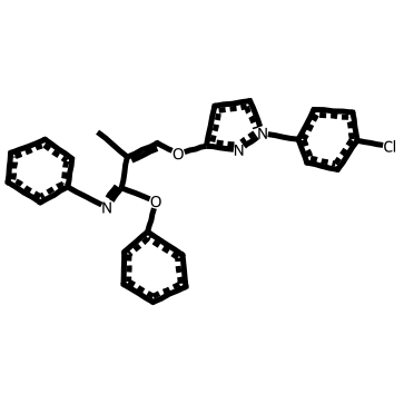 CC(=COc1ccn(-c2ccc(Cl)cc2)n1)C(=Nc1ccccc1)Oc1ccccc1